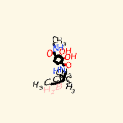 BC(C)(CC)CC(C)(CC)CNC(=O)c1ccc(C(=O)NCC)c(O)c1O